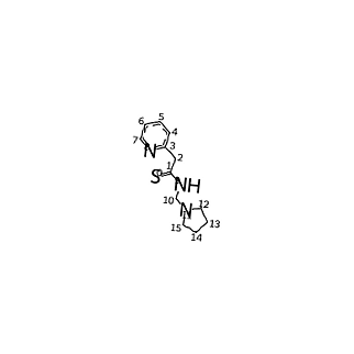 S=C(Cc1ccccn1)NCN1CCCC1